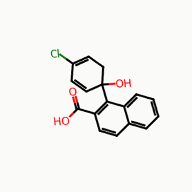 O=C(O)c1ccc2ccccc2c1C1(O)C=CC(Cl)=CC1